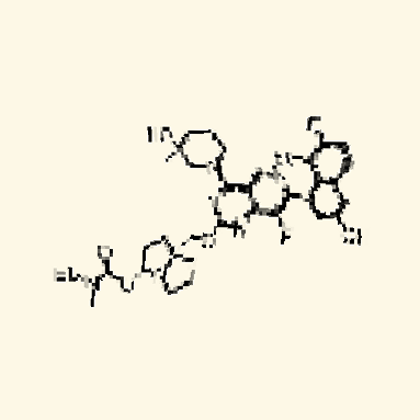 CCc1c(F)ccc2cc(O)cc(-c3ncc4c(N5CCC[C@@](C)(O)C5)nc(OC[C@]56CCCN5[C@H](OC(=O)N(C)CC)CC6)nc4c3F)c12